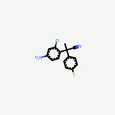 CC(C#N)(c1ccc(F)cc1)c1ccc(N)cc1Cl